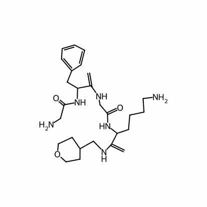 C=C(NCC1CCOCC1)C(CCCCN)NC(=O)CNC(=C)C(Cc1ccccc1)NC(=O)CN